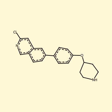 Clc1cc2cc(-c3ccc(OC4CCNCC4)cc3)ccc2cn1